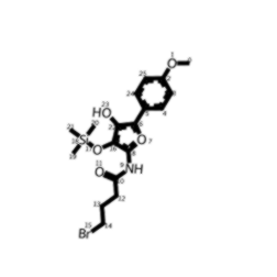 COc1ccc(-c2oc(NC(=O)CCCBr)c(O[Si](C)(C)C)c2O)cc1